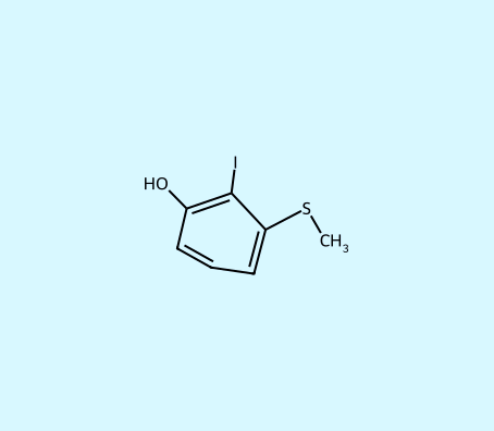 CSc1cccc(O)c1I